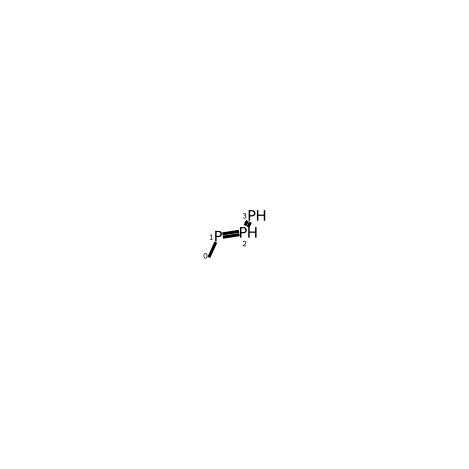 CP=[PH]=P